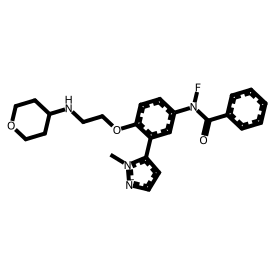 Cn1nccc1-c1cc(N(F)C(=O)c2ccccc2)ccc1OCCNC1CCOCC1